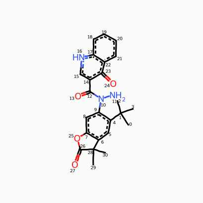 CC(C)(C)c1cc2c(cc1N(N)C(=O)c1c[nH]c3ccccc3c1=O)OC(=O)C2(C)C